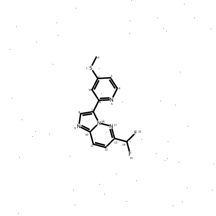 CSc1ccnc(-c2cnc3ccc(C(F)F)nn23)c1